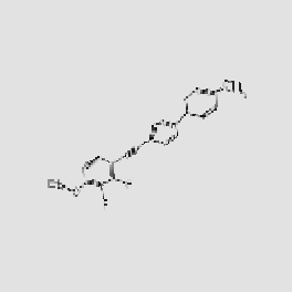 CCOc1ccc(C#Cc2ccc(-c3ccc(C)cc3)cc2)c(F)c1F